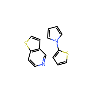 c1cc2sccc2cn1.c1csc(-n2cccc2)c1